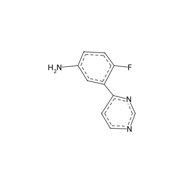 Nc1ccc(F)c(-c2ccncn2)c1